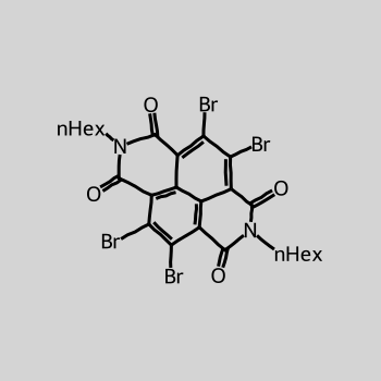 CCCCCCN1C(=O)c2c(Br)c(Br)c3c4c(c(Br)c(Br)c(c24)C1=O)C(=O)N(CCCCCC)C3=O